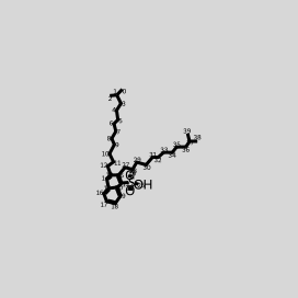 CC(C)CCCCCCCCCCc1cc2ccccc2c(S(=O)(=O)O)c1CCCCCCCCCCC(C)C